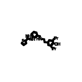 CC(C)c1cc(CCNCc2cccc(NC(=N)c3cccs3)c2)cc(C(C)C)c1O